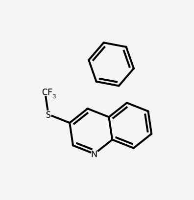 FC(F)(F)Sc1cnc2ccccc2c1.c1ccccc1